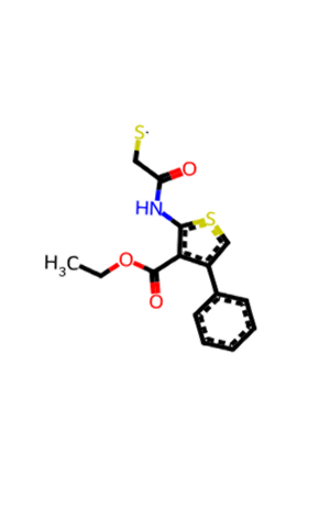 CCOC(=O)c1c(-c2ccccc2)csc1NC(=O)C[S]